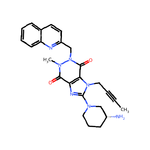 CC#CCn1c(N2CCC[C@@H](N)C2)nc2c(=O)n(C)n(Cc3ccc4ccccc4n3)c(=O)c21